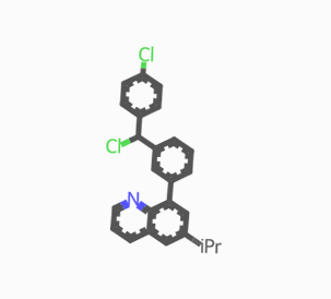 CC(C)c1cc(-c2cccc(C(Cl)c3ccc(Cl)cc3)c2)c2ncccc2c1